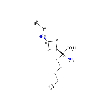 BCCCCC(N)(C(=O)O)[C@H]1C[C@@H](NCC(C)C)C1